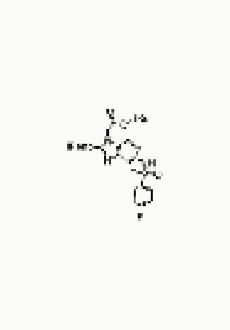 CCCC(C)c1nc2cc(NS(=O)(=O)c3ccc(F)cc3)ccc2n1CC(=O)OC(C)(C)C